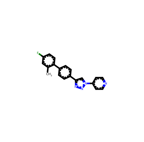 Cc1cc(F)ccc1-c1ccc(-c2cn(-c3ccncc3)nn2)cc1